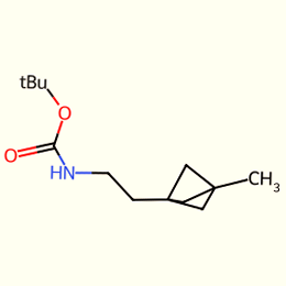 CC12CC(CCNC(=O)OC(C)(C)C)(C1)C2